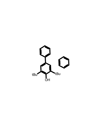 CC(C)(C)c1cc(-c2ccccc2)cc(C(C)(C)C)c1O.c1ccccc1